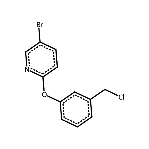 ClCc1cccc(Oc2ccc(Br)cn2)c1